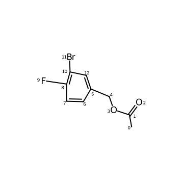 CC(=O)OCc1ccc(F)c(Br)c1